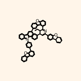 CCC1C(c2cccc3oc4ccc(-c5ccc6c(c5)c5ccccc5n6-c5ccc(-c6cccc7c6oc6ccccc67)cc5)cc4c23)=NC(c2ccc3c(c2)OC2C=CC=CC32)=CC1c1ccccc1